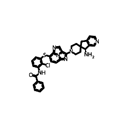 N[C@@H]1c2cnccc2CC12CCN(c1nc3ccc(Sc4cccc(NC(=O)c5ccccc5)c4Cl)c4ncc1n34)CC2